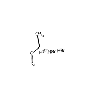 Br.Br.Br.CC[O][V]